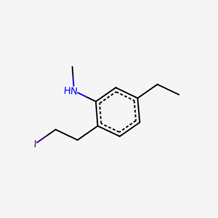 CCc1ccc(CCI)c(NC)c1